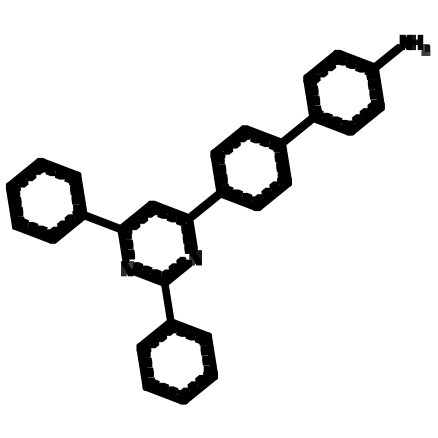 Nc1ccc(-c2ccc(-c3cc(-c4ccccc4)nc(-c4ccccc4)n3)cc2)cc1